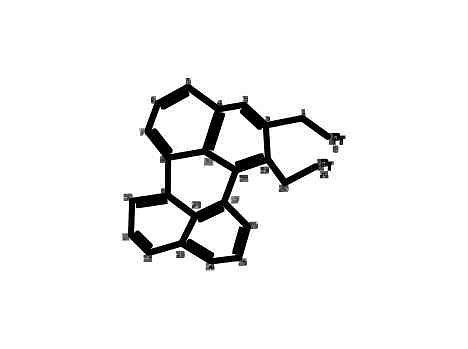 CC(C)Cc1cc2cccc3c4cccc5cccc(c(c1CC(C)C)c23)c54